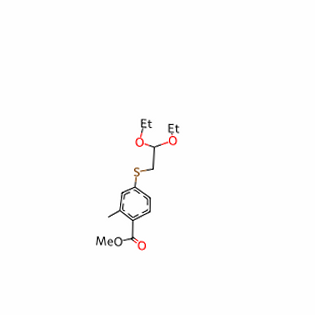 CCOC(CSc1ccc(C(=O)OC)c(C)c1)OCC